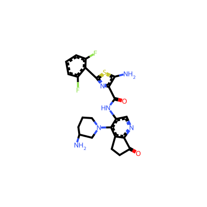 Nc1sc(-c2c(F)cccc2F)nc1C(=O)Nc1cnc2c(c1N1CCCC(N)C1)CCC2=O